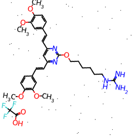 COc1ccc(C=Cc2cc(C=Cc3ccc(OC)c(OC)c3)nc(OCCCCCCNC(=N)N)n2)cc1OC.O=C(O)C(F)(F)F